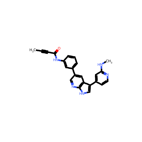 CC#CC(=O)Nc1cccc(-c2cnc3[nH]cc(-c4ccnc(NC)c4)c3c2)c1